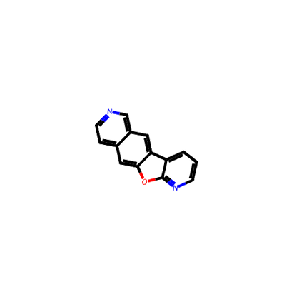 c1cnc2oc3cc4ccncc4cc3c2c1